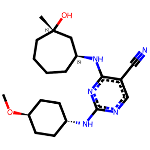 CO[C@H]1CC[C@H](Nc2ncc(C#N)c(N[C@H]3CCCC[C@](C)(O)C3)n2)CC1